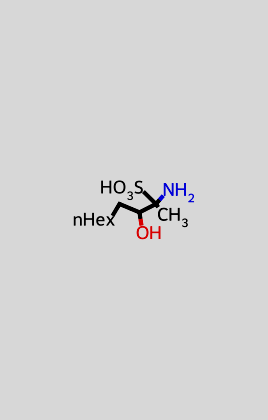 CCCCCCCC(O)C(C)(N)S(=O)(=O)O